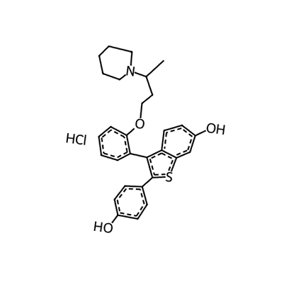 CC(CCOc1ccccc1-c1c(-c2ccc(O)cc2)sc2cc(O)ccc12)N1CCCCC1.Cl